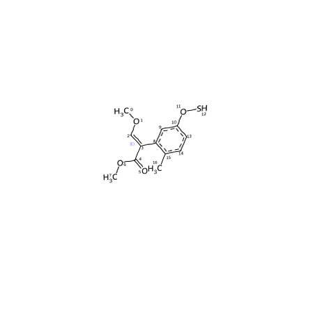 CO/C=C(/C(=O)OC)c1cc(OS)ccc1C